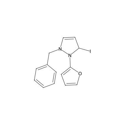 IC1C=CN(Cc2ccccc2)N1c1ccco1